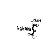 O=C([O-])CCC(=O)[O-].[Na+].[Na+].[NaH].[NaH].[NaH].[NaH]